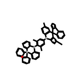 Cc1ccc2c(c1)C1(c3ccccc3-c3ccccc31)c1cc(C)ccc1N2c1cc(C)c(B2c3ccccc3S(c3ccccc3)(c3ccccc3)c3ccccc32)c(C)c1